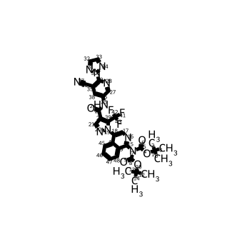 CC(C)(C)OC(=O)N(C(=O)OC(C)(C)C)c1ncc(-n2ncc(C(=O)Nc3cnc(-n4nccn4)c(C#N)c3)c2C(F)(F)F)c2ccccc12